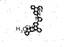 CC1(C)c2ccccc2-c2cc3c4ccccc4c4cc(-c5cccc(-c6ccc7c8ccccc8c8cccnc8c7n6)n5)ccc4c3cc21